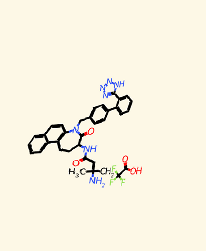 CC(C)(N)CC(=O)NC1CCc2c(ccc3ccccc23)N(Cc2ccc(-c3ccccc3-c3nnn[nH]3)cc2)C1=O.O=C(O)C(F)(F)F